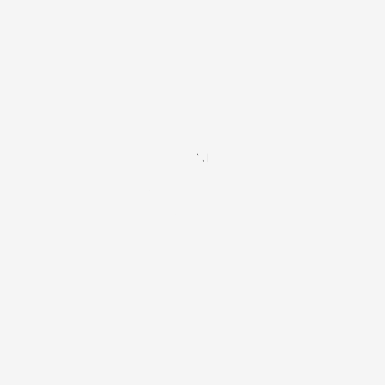 CCCCc1[nH]c2c(C)cccc2c1C